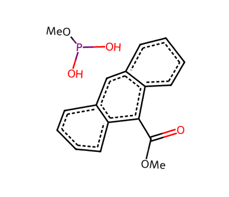 COC(=O)c1c2ccccc2cc2ccccc12.COP(O)O